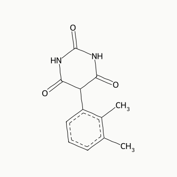 Cc1cccc(C2C(=O)NC(=O)NC2=O)c1C